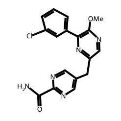 COc1ncc(Cc2cnc(C(N)=O)nc2)nc1-c1cccc(Cl)c1